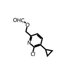 O=COCc1ccc(C2CC2)c(Cl)n1